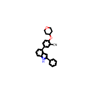 N#Cc1cc(-c2cccc3[nH]c(-c4ccccc4)cc23)ccc1OC1CCOCC1